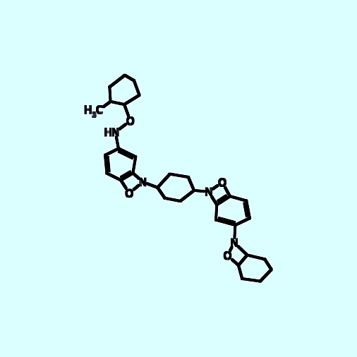 CC1CCCCC1ONc1ccc2on(C3CCC(n4oc5ccc(N6OC7CCCCC76)cc54)CC3)c2c1